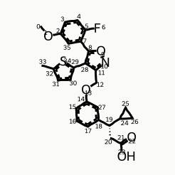 COc1ccc(F)c(-c2onc(COc3cccc([C@@H](CC(=O)O)C4CC4)c3)c2-c2ccc(C)s2)c1